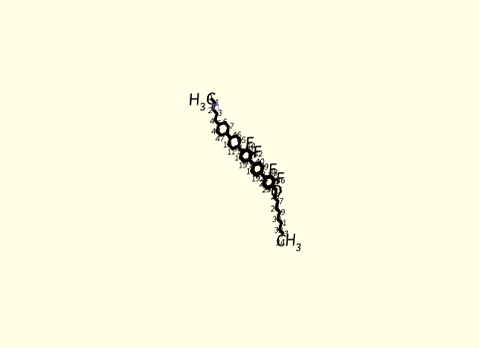 C/C=C/CCC1CCC(C2CCC(c3ccc(-c4ccc(-c5ccc(OCCCCCCCCC)c(F)c5F)cc4)c(F)c3F)CC2)CC1